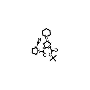 CC(C)(C)OC(=O)N1C[C@@H](N2CCCCC2)C[C@H]1C(=O)N1CCC[C@H]1C#N